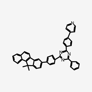 CC1(C)c2ccc(-c3ccc(-c4nc(-c5ccccc5)nc(-c5ccc(-c6ccncc6)cc5)n4)cc3)cc2-c2ccc3ccccc3c21